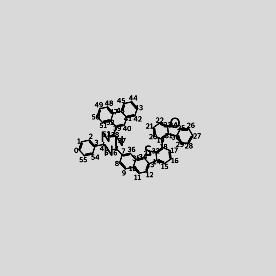 c1ccc(-c2nc(-c3ccc4ccc5c6cccc(-c7cccc8oc9ccccc9c78)c6sc5c4c3)nc(-c3cc4ccccc4c4ccccc34)n2)cc1